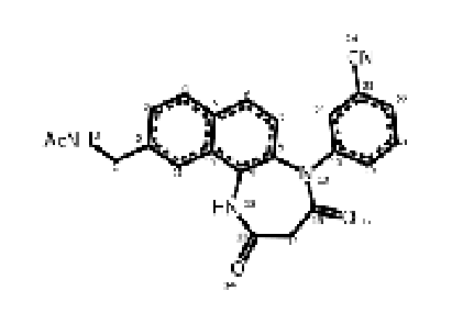 CC(=O)NCc1ccc2ccc3c(c2c1)NC(=O)CC(=O)N3c1cccc(C#N)c1